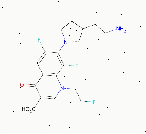 NCCC1CCN(c2c(F)cc3c(=O)c(C(=O)O)cn(CCF)c3c2F)C1